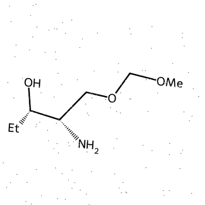 CC[C@H](O)[C@@H](N)COCOC